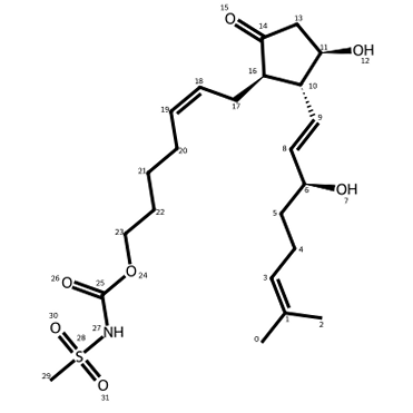 CC(C)=CCC[C@H](O)/C=C/[C@H]1[C@H](O)CC(=O)[C@@H]1C/C=C\CCCCOC(=O)NS(C)(=O)=O